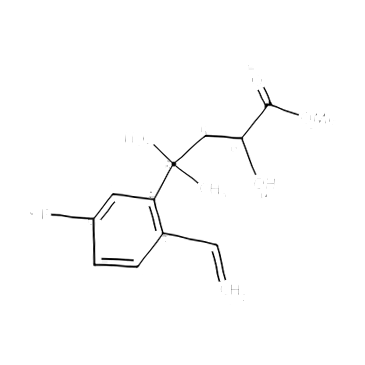 C=Cc1ccc(F)cc1C(C)(C)CC(O)C(=O)OC